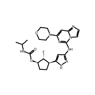 CC(C)NC(=O)O[C@@H]1CC[C@H](c2cc(Nc3nc(N4CCOCC4)cc4nccn34)n[nH]2)[C@H]1F